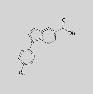 O=C(O)c1ccc2c(ccn2-c2ccc(O)cc2)c1